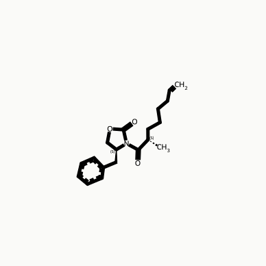 C=CCCCC[C@H](C)C(=O)N1C(=O)OC[C@@H]1Cc1ccccc1